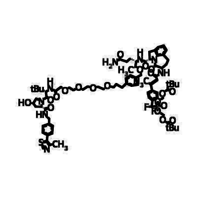 C/C(=C\C(=O)N[C@H]1CCc2cccc3c2N(C1=O)[C@H](C(=O)N[C@@H](CCC(N)=O)[C@@H](C)OCc1ccc(CCCOCCOCCOCCOCC(=O)N[C@H](C(=O)N2C[C@H](O)C[C@H]2C(=O)NCc2ccc(-c4scnc4C)cc2)C(C)(C)C)cc1)C3)c1ccc(C(F)(F)P(=O)(OCOC(=O)C(C)(C)C)OCOC(=O)C(C)(C)C)cc1